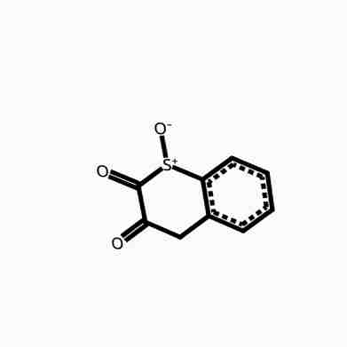 O=C1Cc2ccccc2[S+]([O-])C1=O